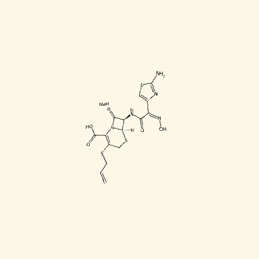 C=CCSC1=C(C(=O)O)N2C(=O)[C@@H](NC(=O)/C(=N\O)c3csc(N)n3)[C@H]2SC1.[NaH]